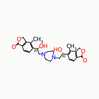 Cc1c([C@@H](O)CN2CCN(C[C@H](O)c3ccc4c(c3C)COC4=O)CC2)ccc2c1COC2=O